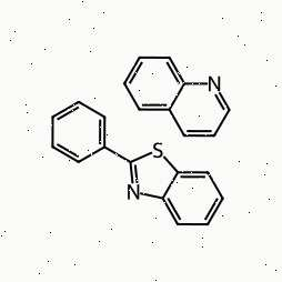 c1ccc(-c2nc3ccccc3s2)cc1.c1ccc2ncccc2c1